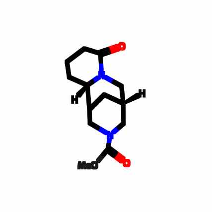 COC(=O)N1CC2C[C@@H](C1)CN1C(=O)CCC[C@@H]21